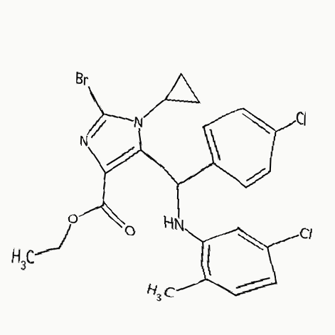 CCOC(=O)c1nc(Br)n(C2CC2)c1C(Nc1cc(Cl)ccc1C)c1ccc(Cl)cc1